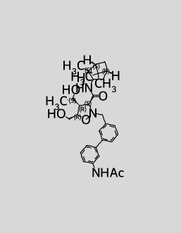 CC(=O)Nc1cccc(-c2cccc(CN3O[C@@H](CO)[C@@H]([C@H](C)O)[C@H]3C(=O)NC3C[C@H]4C[C@@H]([C@@H]3C)C4(C)C)c2)c1